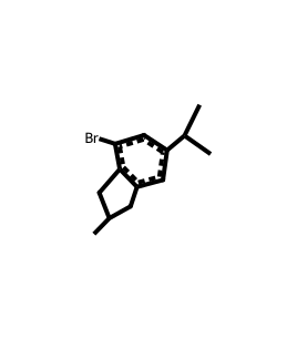 CC1Cc2cc(C(C)C)cc(Br)c2C1